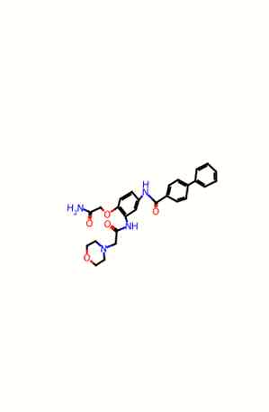 NC(=O)COc1ccc(NC(=O)c2ccc(-c3ccccc3)cc2)cc1NC(=O)CN1CCOCC1